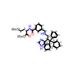 COC(=O)[C@H](CCSC)NC(=O)c1cccc(CNCC(c2c[nH]cn2)C(c2ccccc2)(c2ccccc2)c2ccccc2)c1